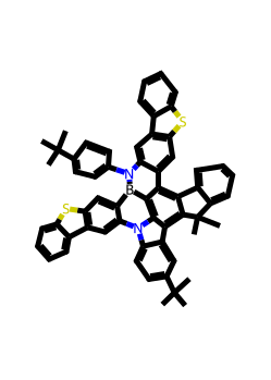 CC(C)(C)c1ccc(N2B3c4cc5sc6ccccc6c5cc4-n4c5ccc(C(C)(C)C)cc5c5c6c(c(c3c54)-c3cc4sc5ccccc5c4cc32)-c2ccccc2C6(C)C)cc1